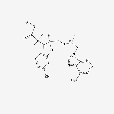 CCCSC(=O)C(C)(C)NP(=O)(CO[C@H](C)Cn1cnc2c(N)ncnc21)Oc1cccc(C#N)c1